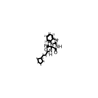 O=C(CCC1CCCC1)NC1(C(F)(F)F)C(=O)Nc2nc3ccccc3n21